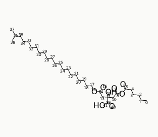 CCCCCC(=O)OC(=O)CC(O)(CC(=O)OCCCCCCCCCCCCCCCCCCCC(C)C)C(=O)O